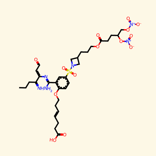 CCCC(=N)C(=C/C=O)/N=C(\N)c1cc(S(=O)(=O)N2CC(CCCOC(=O)CCC(CO[N+](=O)[O-])O[N+](=O)[O-])C2)ccc1OCC/C=C/CCC(=O)O